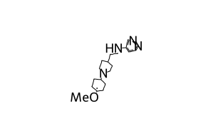 CO[C]1CCC(N2CCC(CCNc3ccnnc3)CC2)CC1